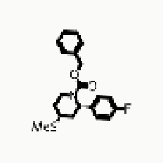 CS[C@H]1CCN(C(=O)OCc2ccccc2)[C@@H](c2ccc(F)cc2)C1